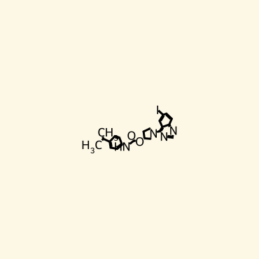 CC(C)c1ccc(NC(=O)OC2CCN(c3ncnc4ccc(I)cc34)C2)cc1